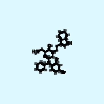 NCCC(=O)N(CCc1c[nH]c2ccccc12)CC(=O)N(c1ccccc1)c1ccc(Br)cc1Br